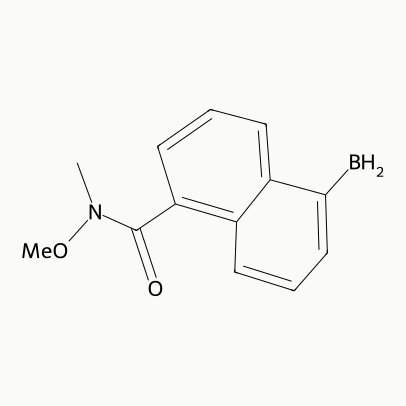 Bc1cccc2c(C(=O)N(C)OC)cccc12